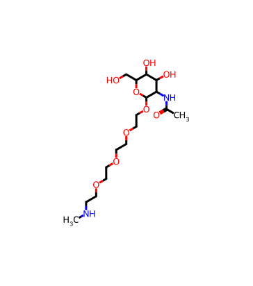 CNCCOCCOCCOCCOC1OC(CO)C(O)C(O)C1NC(C)=O